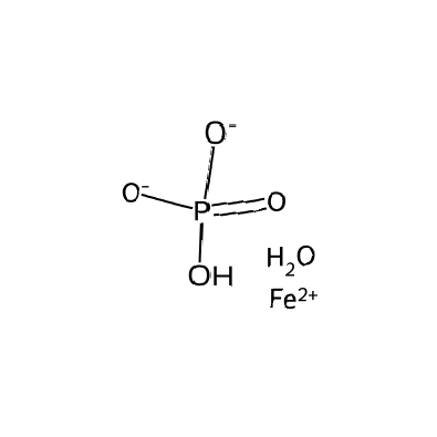 O.O=P([O-])([O-])O.[Fe+2]